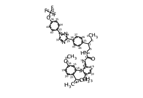 CCC(CNC(=O)/N=c1\scc(C)n1-c1cc(OC)ccc1C(C)C)c1ccc(-c2ncn(-c3ccc(OC(F)(F)F)cc3)n2)cc1